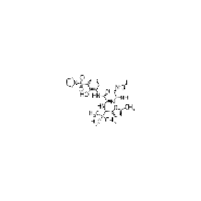 Cc1ccc([C@H](NC2=NC(=N)/C(=N\OI)N=C2Nc2cccc(S(=O)(=O)N3CCCC3)c2O)C(C)(C)C)o1